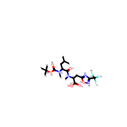 CC(C)CC(C(=O)N(C)C(Cc1nc(C(F)(F)F)no1)C(=O)O)N(C)C(=O)OC(C)(C)C